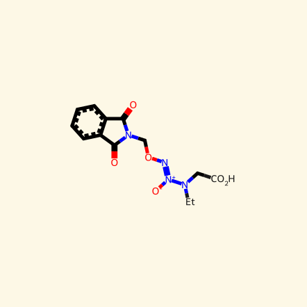 CCN(CC(=O)O)/[N+]([O-])=N/OCN1C(=O)c2ccccc2C1=O